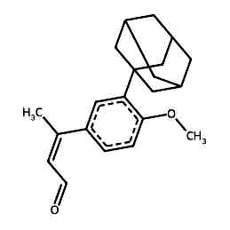 COc1ccc(/C(C)=C\C=O)cc1C12CC3CC(CC(C3)C1)C2